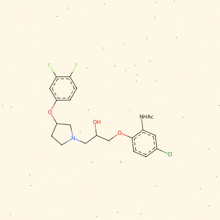 CC(=O)Nc1cc(Cl)ccc1OCC(O)CN1CCC(Oc2ccc(F)c(F)c2)C1